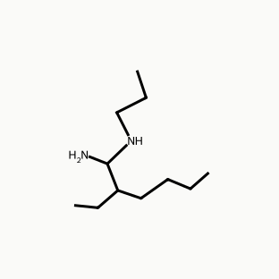 CCCCC(CC)C(N)NCCC